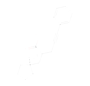 CC(C)(C)OC(=O)C(CC#Cc1ccccc1)CC1(C(=O)O)CCCC1